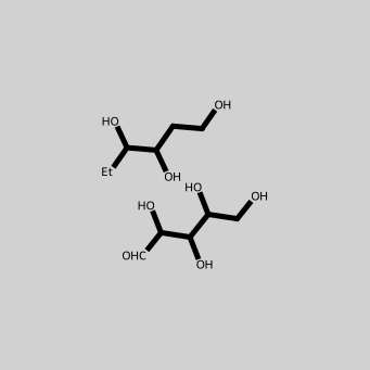 CCC(O)C(O)CCO.O=CC(O)C(O)C(O)CO